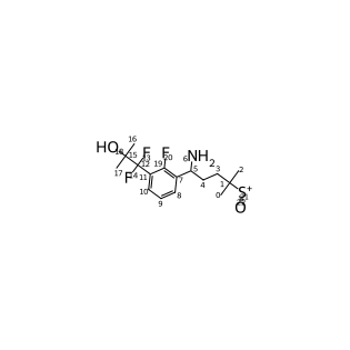 CC(C)(CCC(N)c1cccc(C(F)(F)C(C)(C)O)c1F)[S+]=O